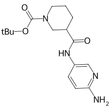 CC(C)(C)OC(=O)N1CCCC(C(=O)Nc2ccc(N)nc2)C1